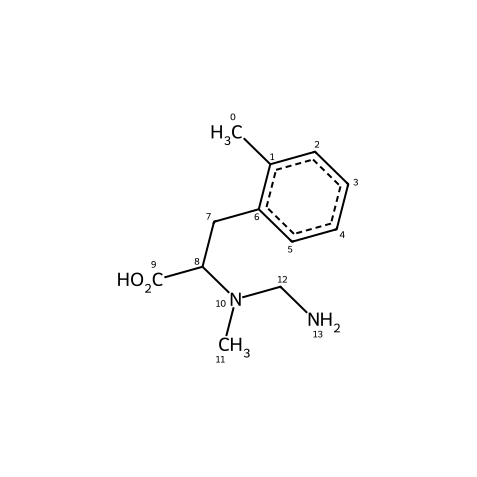 Cc1ccccc1CC(C(=O)O)N(C)CN